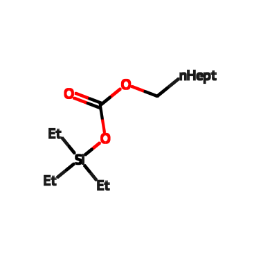 CCCCCCCCOC(=O)O[Si](CC)(CC)CC